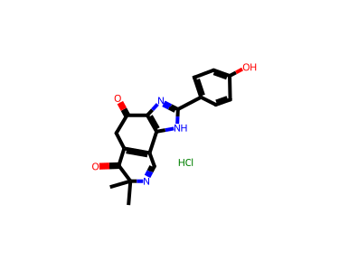 CC1(C)N=CC2=C(CC(=O)c3nc(-c4ccc(O)cc4)[nH]c32)C1=O.Cl